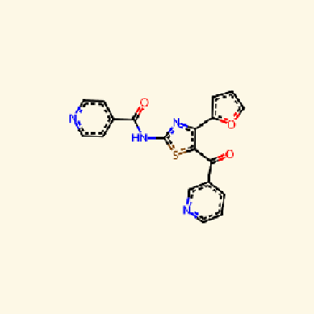 O=C(Nc1nc(-c2ccco2)c(C(=O)c2cccnc2)s1)c1ccncc1